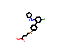 O=C(O)CCCSc1ccc(-c2cc(F)ccc2NC2CCCC2)cc1